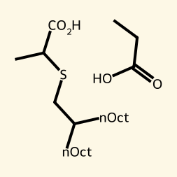 CCC(=O)O.CCCCCCCCC(CCCCCCCC)CSC(C)C(=O)O